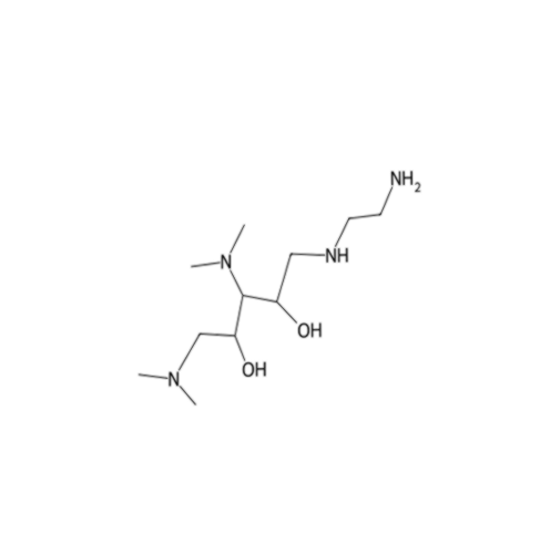 CN(C)CC(O)C(C(O)CNCCN)N(C)C